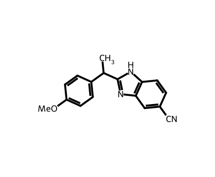 COc1ccc(C(C)c2nc3cc(C#N)ccc3[nH]2)cc1